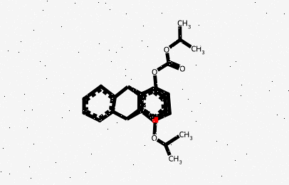 CC(C)OC(=O)Oc1ccc(OC(C)C)c2c1C1c3ccccc3C2c2ccccc21